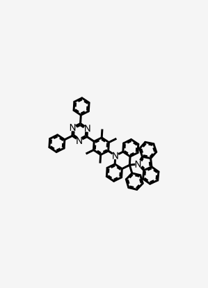 Cc1c(C)c(N2c3ccccc3C(c3ccccc3)(n3c4ccccc4c4ccccc43)c3ccccc32)c(C)c(C)c1-c1nc(-c2ccccc2)nc(-c2ccccc2)n1